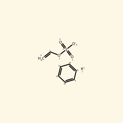 C=COS(=O)(=O)[O-].[K+].c1ccccc1